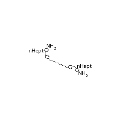 CCCCCCCc1cc(N)ccc1Cc1ccc(CCCCCCCCCCCc2ccc(Cc3ccc(N)cc3CCCCCCC)cc2)cc1